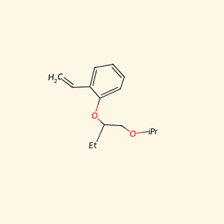 C=Cc1ccccc1OC(CC)COC(C)C